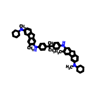 Cc1cc2c(cc1Nc1ccc(C(C)(C)c3ccc(Nc4cc5c(cc4C)-c4cc(N(C)C6CCCCC6)ccc4C5)cc3)cc1)Cc1ccc(N(C)C3CCCCC3)cc1-2